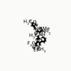 CCOC1C(C(F)(F)F)=CC(C2=CC=CCN2C(=O)[C@H](C)N/C(C(=O)NCc2cc(C)on2)=C(\N)NC)=CN1C